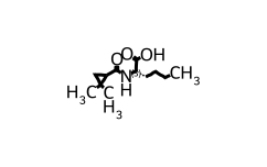 CCCC[C@H](NC(=O)C1CC1(C)C)C(=O)O